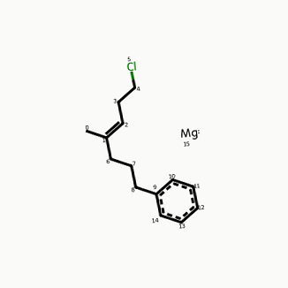 CC(=CCCCl)CCCc1ccccc1.[Mg]